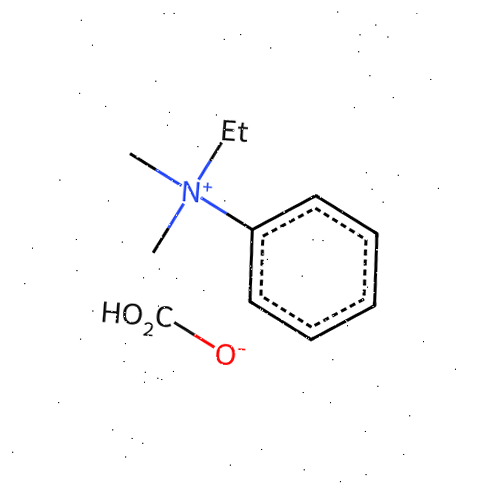 CC[N+](C)(C)c1ccccc1.O=C([O-])O